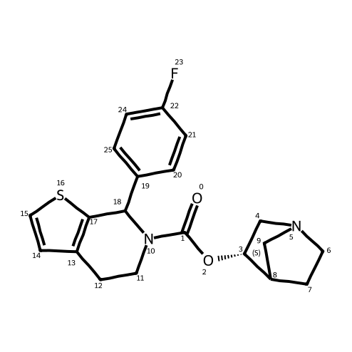 O=C(O[C@@H]1CN2CCC1C2)N1CCc2ccsc2C1c1ccc(F)cc1